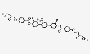 C=CC(=O)COc1ccc(C(=O)Oc2ccc(-c3ccc(-c4ccc(OC(=O)c5ccc(OCOC(=O)C=C)cc5)c(F)c4)cc3C)cc2F)cc1